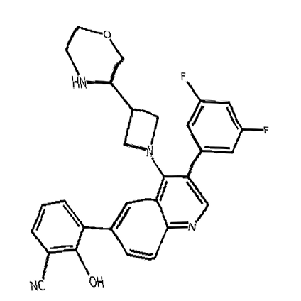 N#Cc1cccc(-c2ccc3ncc(-c4cc(F)cc(F)c4)c(N4CC(C5COCCN5)C4)c3c2)c1O